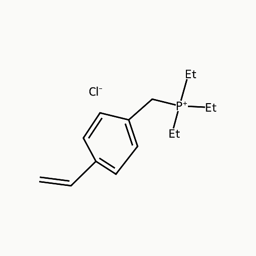 C=Cc1ccc(C[P+](CC)(CC)CC)cc1.[Cl-]